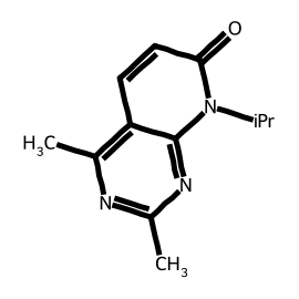 Cc1nc(C)c2ccc(=O)n(C(C)C)c2n1